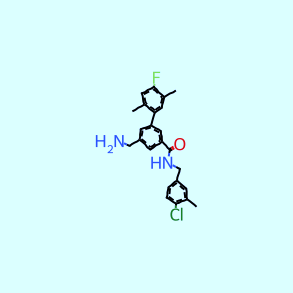 Cc1cc(-c2cc(CN)cc(C(=O)NCc3ccc(Cl)c(C)c3)c2)c(C)cc1F